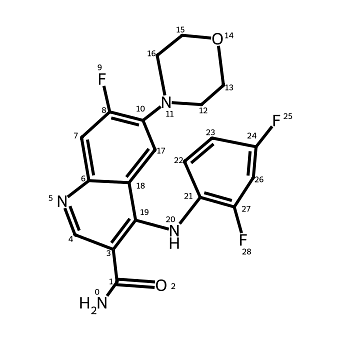 NC(=O)c1cnc2cc(F)c(N3CCOCC3)cc2c1Nc1ccc(F)cc1F